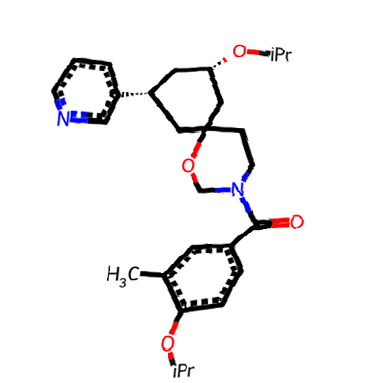 Cc1cc(C(=O)N2CCC3(C[C@@H](OC(C)C)C[C@@H](c4cccnc4)C3)OC2)ccc1OC(C)C